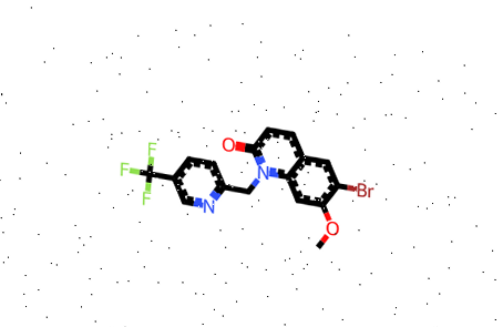 COc1cc2c(ccc(=O)n2Cc2ccc(C(F)(F)F)cn2)cc1Br